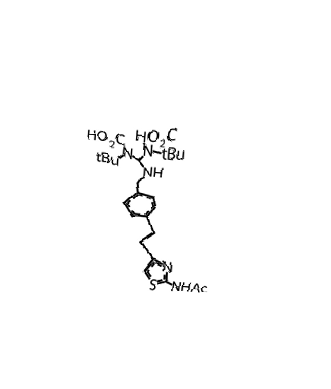 CC(=O)Nc1nc(CCc2ccc(CNC(N(C(=O)O)C(C)(C)C)N(C(=O)O)C(C)(C)C)cc2)cs1